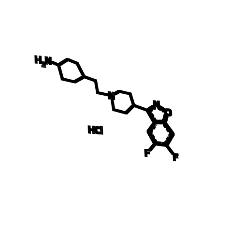 Cl.NC1CCC(CCN2CCC(c3noc4cc(F)c(F)cc34)CC2)CC1